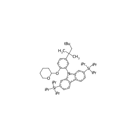 CC(C)[Si](c1ccc2c3ccc([Si](C(C)C)(C(C)C)C(C)C)cc3n(-c3cc(C(C)(C)CC(C)(C)C)ccc3OC3CCCCO3)c2c1)(C(C)C)C(C)C